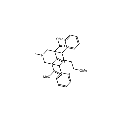 COCCN1C(c2ccccn2)C2(C(=O)OC)CN(C)CC(C(=O)OC)(C2=O)C1c1ccccn1